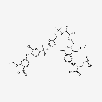 CC1(C)OC(c2ccco2)CN1C(=O)C(Cl)Cl.CCOCN(C(=O)CCl)c1c(C)cccc1CC.CCOc1cc(Oc2ccc(C(F)(F)F)cc2Cl)ccc1[N+](=O)[O-].CP(=O)(O)CCC(N)C(=O)O